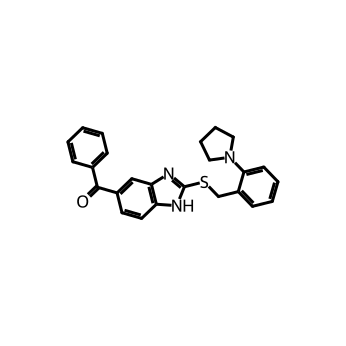 O=C(c1ccccc1)c1ccc2[nH]c(SCc3ccccc3N3CCCC3)nc2c1